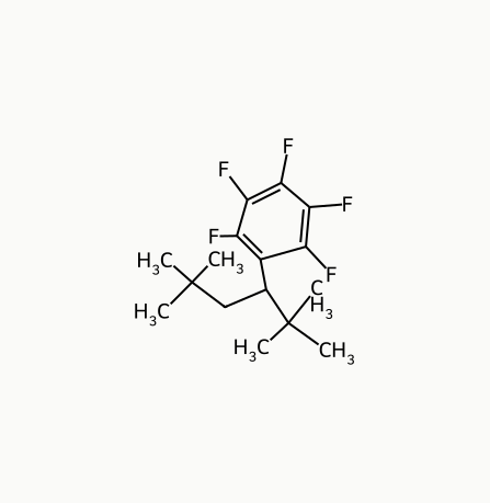 CC(C)(C)CC(c1c(F)c(F)c(F)c(F)c1F)C(C)(C)C